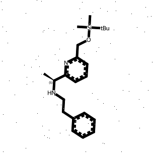 C[C@H](NCCc1ccccc1)c1cccc(CO[Si](C)(C)C(C)(C)C)n1